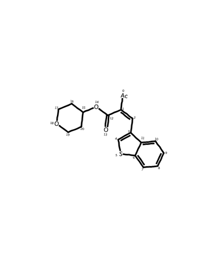 CC(=O)/C(=C/c1csc2ccccc12)C(=O)OC1CCOCC1